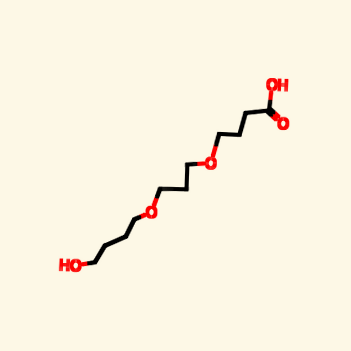 O=C(O)CCCOCCCOCCCCO